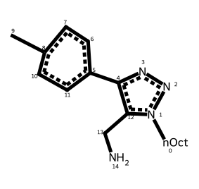 CCCCCCCCn1nnc(-c2ccc(C)cc2)c1CN